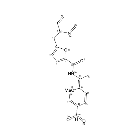 C=CN(Cc1ccc(C(=O)N/C(C)=C(/C=C\C(=C/C)[SH](=O)=O)OC)o1)N=C